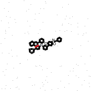 c1ccc(-c2ccc(N(c3ccccc3-c3ccc4ccccc4c3)c3cccc4c3oc3cc5nc(-c6ccccc6)oc5cc34)cc2)cc1